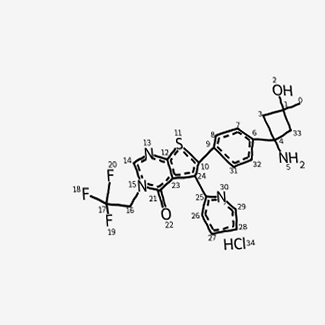 CC1(O)CC(N)(c2ccc(-c3sc4ncn(CC(F)(F)F)c(=O)c4c3-c3ccccn3)cc2)C1.Cl